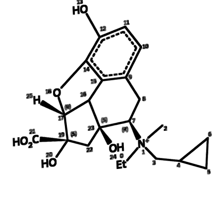 CC[N+](C)(CC1CC1)[C@@H]1Cc2ccc(O)c3c2C2[C@@H](O3)[C@](O)(C(=O)O)C[C@]21O